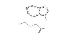 CCNCC(=O)O.Oc1c[nH]c2ccccc12